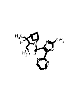 Cc1nc(C(=O)N2C3CC(C3)[C@@H](C)C2CN)c(-c2ncccn2)s1